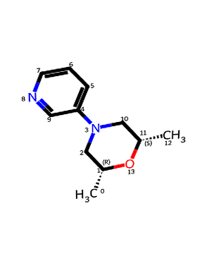 C[C@@H]1CN(c2cccnc2)C[C@H](C)O1